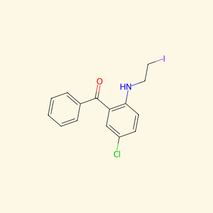 O=C(c1ccccc1)c1cc(Cl)ccc1NCCI